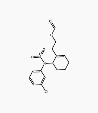 O=COCCC1=CCCCC1N(c1cccc(Cl)c1)[SH](=O)=O